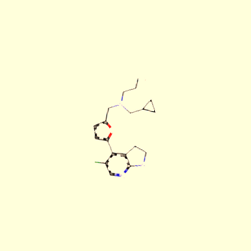 Fc1cnc2c(c1-c1ccc(CN(CCC(F)(F)F)CC3CC3)o1)CCN2